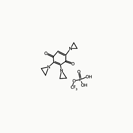 O=C1C=C(N2CC2)C(=O)C(N2CC2)=C1N1CC1.O=P(O)(O)OC(F)(F)F